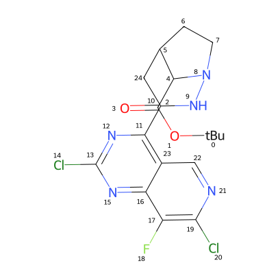 CC(C)(C)OC(=O)C1C2CCN1NC(c1nc(Cl)nc3c(F)c(Cl)ncc13)C2